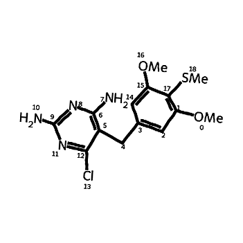 COc1cc(Cc2c(N)nc(N)nc2Cl)cc(OC)c1SC